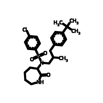 CC(Cc1ccc(C(C)(C)C)cc1)CN(C1CCCCNC1=O)S(=O)(=O)c1ccc(Cl)cc1